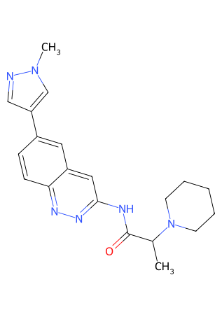 CC(C(=O)Nc1cc2cc(-c3cnn(C)c3)ccc2nn1)N1CCCCC1